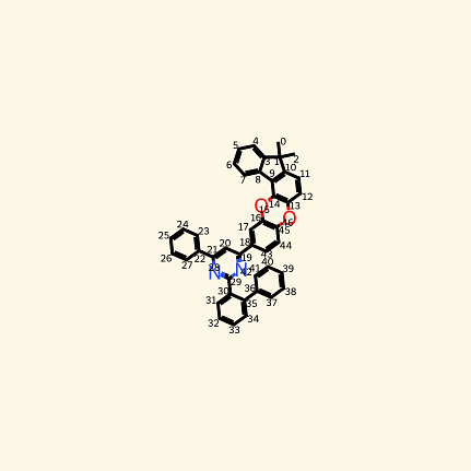 CC1(C)c2ccccc2-c2c1ccc1c2Oc2cc(-c3cc(-c4ccccc4)nc(-c4ccccc4-c4ccccc4)n3)ccc2O1